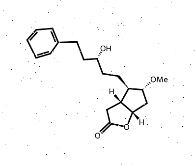 CO[C@@H]1C[C@@H]2OC(=O)C[C@@H]2[C@H]1CC[C@@H](O)CCc1ccccc1